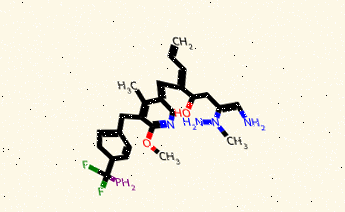 C=C/C=C(\C=C1/CN=C(OC)C(CC2=CCC(C(F)(F)P)C=C2)=C1C)C(O)C/C(=C/N)N(C)N